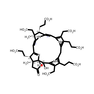 C[C@]1(O)c2[nH]c(c(CCC(=O)O)c2CC(=O)O)Cc2[nH]c(c(CC(=O)O)c2CCC(=O)O)/C=C2\N/C(=C\C3=N[C@]14OC(=O)C[C@@]4(C)[C@@H]3CCC(=O)O)[C@@](C)(CC(=O)O)[C@@H]2CCC(=O)O